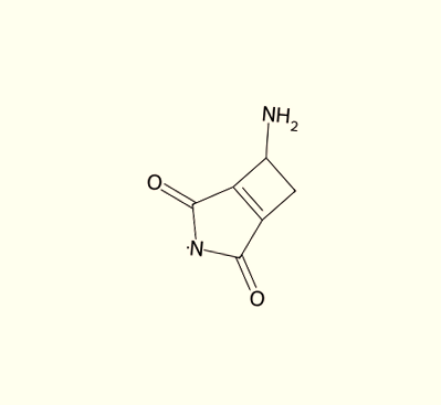 NC1CC2=C1C(=O)[N]C2=O